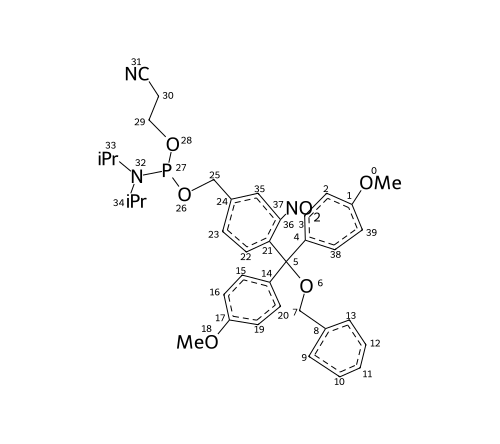 COc1ccc(C(OCc2ccccc2)(c2ccc(OC)cc2)c2ccc(COP(OCCC#N)N(C(C)C)C(C)C)cc2[N+](=O)[O-])cc1